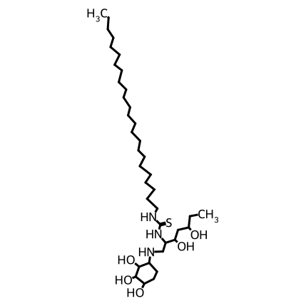 CCCCCCCCCCCCCCCCCCCCCCCCNC(=S)NC(CNC1CCC(O)C(O)C1O)C(O)CC(O)CC